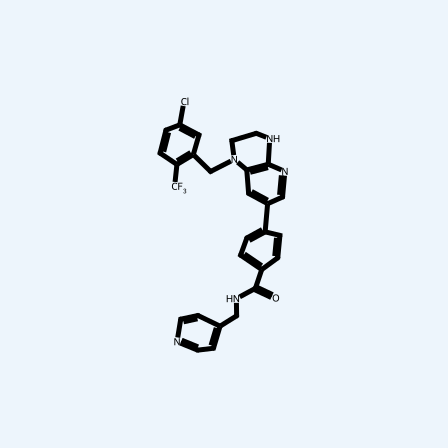 O=C(NCc1ccncc1)c1ccc(-c2cnc3c(c2)N(Cc2cc(Cl)ccc2C(F)(F)F)CCN3)cc1